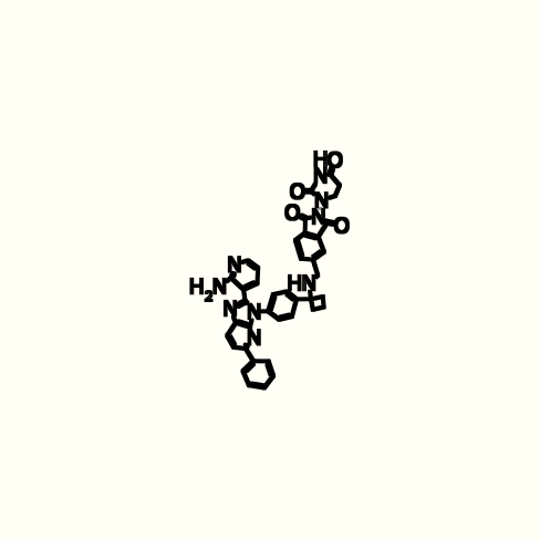 Nc1ncccc1-c1nc2ccc(-c3ccccc3)nc2n1-c1ccc(C2(NCc3ccc4c(c3)C(=O)N(N3CCC(=O)NC3=O)C4=O)CCC2)cc1